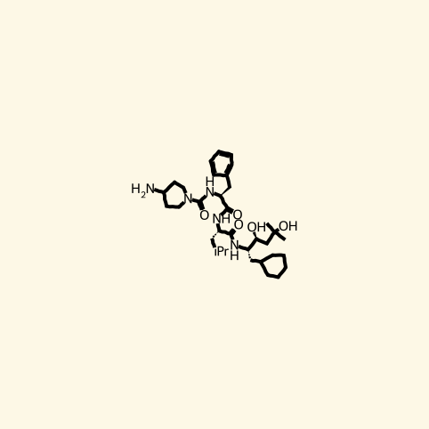 CC(C)C[C@H](NC(=O)[C@H](Cc1ccccc1)NC(=O)N1CCC(N)CC1)C(=O)N[C@@H](CC1CCCCC1)[C@@H](O)CC(C)(C)O